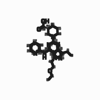 CCOCCn1nc(CC)c2nc(N3CCC[C@@H](C(=O)O)C3)nc(Nc3ccccn3)c21